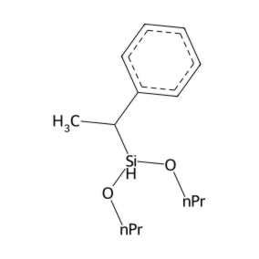 CCCO[SiH](OCCC)C(C)c1ccccc1